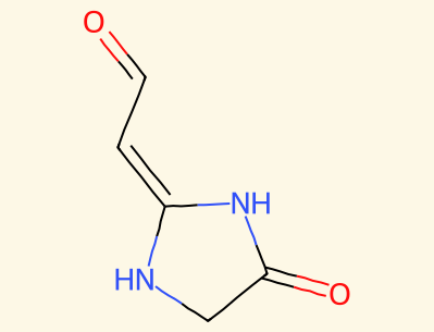 O=CC=C1NCC(=O)N1